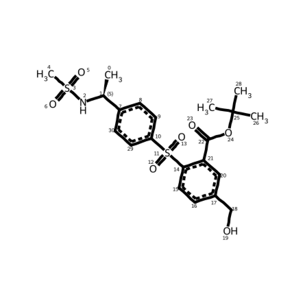 C[C@H](NS(C)(=O)=O)c1ccc(S(=O)(=O)c2ccc(CO)cc2C(=O)OC(C)(C)C)cc1